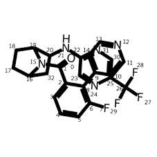 O=C(c1cccc(F)c1-c1ccncc1)N1C2CCC1C(Nc1cnc(C(F)(F)F)cn1)C2